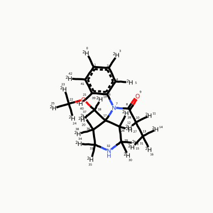 [2H]c1c([2H])c([2H])c(N(C(=O)C([2H])([2H])C([2H])([2H])[2H])C2(C([2H])([2H])OC([2H])([2H])[2H])C([2H])([2H])C([2H])([2H])NC([2H])([2H])C2([2H])[2H])c([2H])c1[2H]